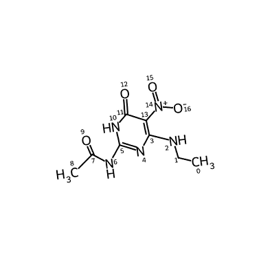 CCNc1nc(NC(C)=O)[nH]c(=O)c1[N+](=O)[O-]